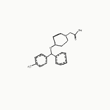 Cc1ccc(C(OC2CCN(CC(=O)O)CC2)c2ccccc2)cc1